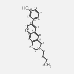 CCCCN1COc2cc3c(cc2C1)C=C(c1cccc(O)c1)CO3